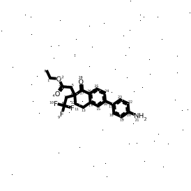 CCOC(=O)CC1(CC(F)(F)F)CCc2cc(-c3ccc(N)cc3)ccc2C1=O